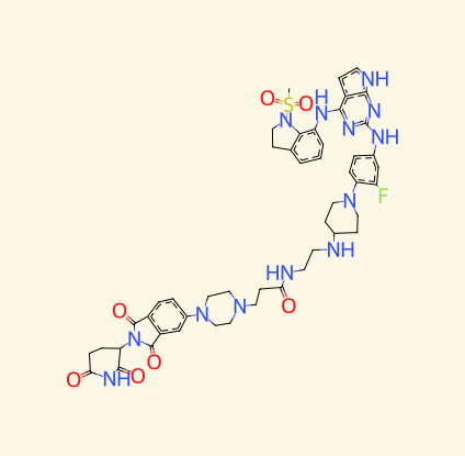 CS(=O)(=O)N1CCc2cccc(Nc3nc(Nc4ccc(N5CCC(NCCNC(=O)CCN6CCN(c7ccc8c(c7)C(=O)N(C7CCC(=O)NC7=O)C8=O)CC6)CC5)c(F)c4)nc4[nH]ccc34)c21